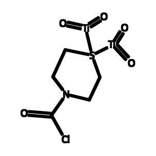 O=C(Cl)N1CC[S]([Ti](=[O])=[O])([Ti](=[O])=[O])CC1